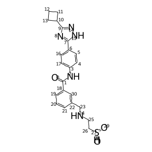 O=C(Nc1ccc(-c2nc(C3CCC3)n[nH]2)cc1)c1cccc(CNCC[SH](=O)=O)c1